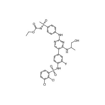 CCOC(=O)N=S(C)(=O)c1ccc(Nc2ncc(-c3ccc(NS(=O)(=O)c4cccc(Cl)c4Cl)c(F)c3)c(NC(C)CO)n2)cc1